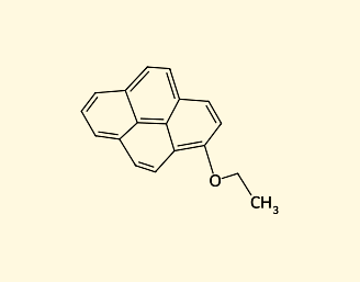 CCOc1ccc2ccc3cccc4ccc1c2c34